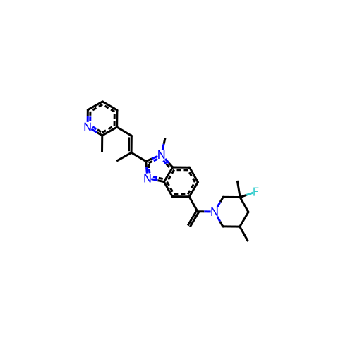 C=C(c1ccc2c(c1)nc(/C(C)=C/c1cccnc1C)n2C)N1CC(C)CC(C)(F)C1